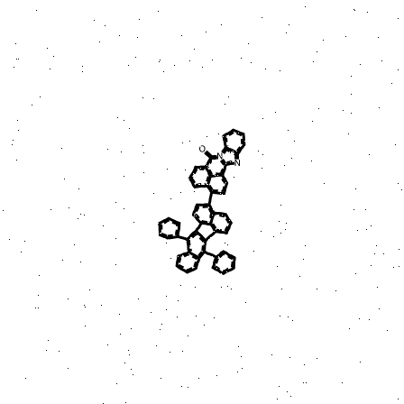 O=c1c2cccc3c(-c4ccc5c6c(cccc46)-c4c-5c(-c5ccccc5)c5ccccc5c4-c4ccccc4)ccc(c32)c2nc3ccccc3n12